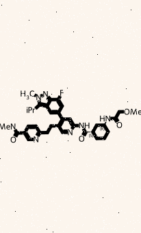 CNC(=O)c1ccc(CCc2cnc(NC(=O)[C@H]3CCC[C@@H](NC(=O)COC)C3)cc2-c2cc(F)c3nn(C)c(C(C)C)c3c2)nc1